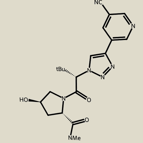 CNC(=O)[C@@H]1C[C@@H](O)CN1C(=O)[C@@H](n1cc(-c2cncc(C#N)c2)nn1)C(C)(C)C